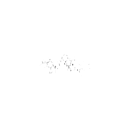 CCN(C(=O)Cn1c(=O)c2ccccc2n(CC(=O)Nc2cc(Cl)c(OC)cc2OC)c1=O)C1CCCCC1